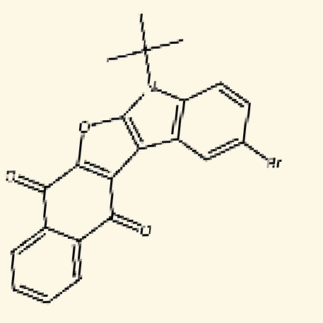 CC(C)(C)n1c2ccc(Br)cc2c2c3c(oc21)C(=O)c1ccccc1C3=O